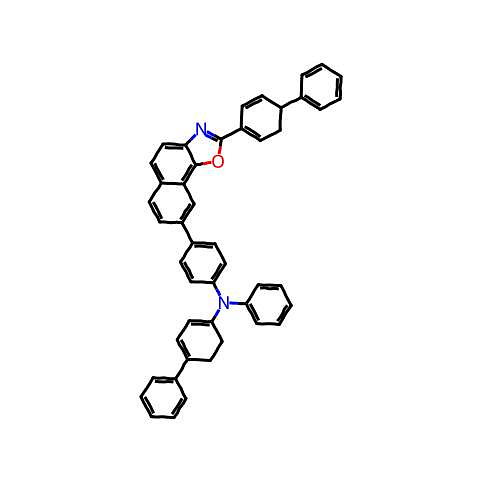 C1=CC(c2ccccc2)CC=C1c1nc2ccc3ccc(-c4ccc(N(C5=CC=C(c6ccccc6)CC5)c5ccccc5)cc4)cc3c2o1